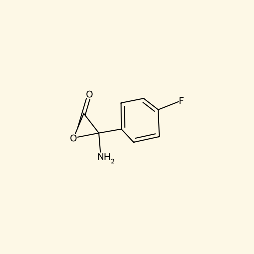 NC1(c2ccc(F)cc2)OC1=O